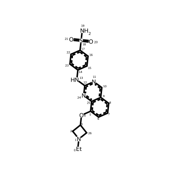 CCN1CC(Oc2cccc3cnc(Nc4ccc(S(N)(=O)=O)cc4)nc23)C1